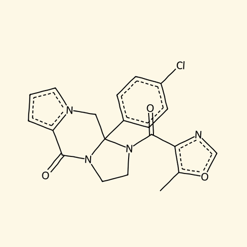 Cc1ocnc1C(=O)N1CCN2C(=O)c3cccn3CC12c1ccc(Cl)cc1